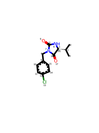 CC(C)[C@H]1NC(=O)N(Cc2ccc(Cl)cc2)C1=O